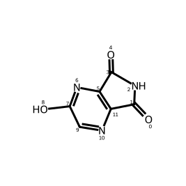 O=C1NC(=O)c2nc(O)cnc21